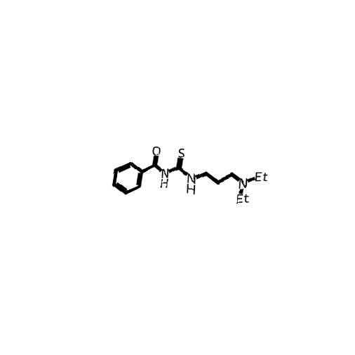 CCN(CC)CCCNC(=S)NC(=O)c1ccccc1